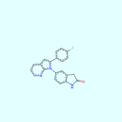 O=C1Cc2cc(-n3c(-c4ccc(F)cc4)cc4cccnc43)ccc2N1